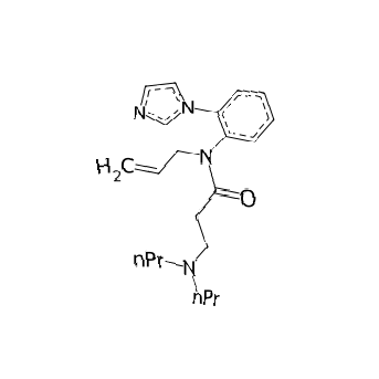 C=CCN(C(=O)CCN(CCC)CCC)c1ccccc1-n1ccnc1